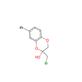 CC(C)c1ccc2c(c1)OC(O)(CBr)CO2